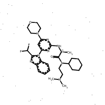 C[C@H](Nc1nc(N2CCOCC2)cc(-n2c(C(F)F)nc3ccccc32)n1)C(=O)N(CCN(C)C)C1CCCCC1